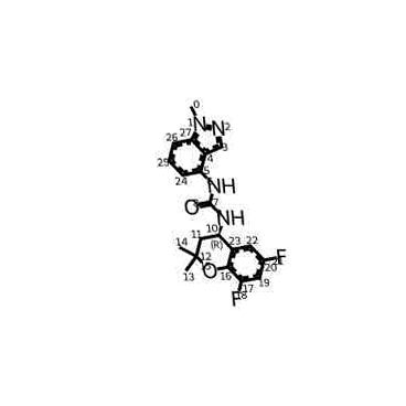 Cn1ncc2c(NC(=O)N[C@@H]3CC(C)(C)Oc4c(F)cc(F)cc43)cccc21